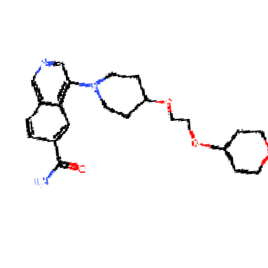 NC(=O)c1ccc2cncc(N3CCC(OCCOC4CCOCC4)CC3)c2c1